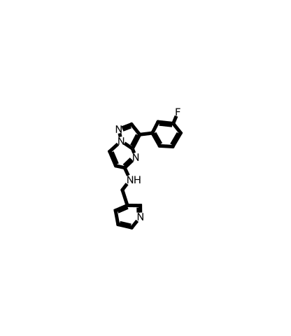 Fc1cccc(-c2cnn3ccc(NCc4cccnc4)nc23)c1